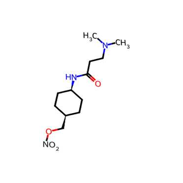 CN(C)CCC(=O)N[C@H]1CC[C@@H](CO[N+](=O)[O-])CC1